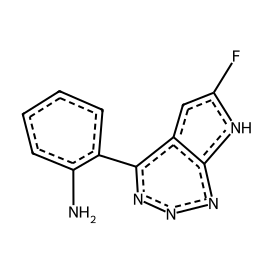 Nc1ccccc1-c1nnnc2[nH]c(F)cc12